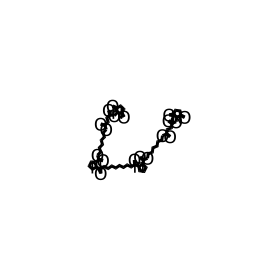 O=C(CCC(=O)ON1C(=O)CCC1=O)OCCCCCCOC(=O)C1CCCN1C(=O)CCCCCCCCC(=O)N1CCCC1C(=O)OCCCCCCOC(=O)CCC(=O)ON1C(=O)CCC1=O